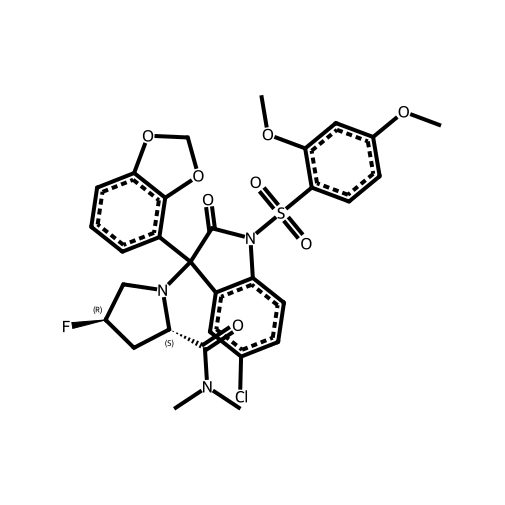 COc1ccc(S(=O)(=O)N2C(=O)C(c3cccc4c3OCO4)(N3C[C@H](F)C[C@H]3C(=O)N(C)C)c3cc(Cl)ccc32)c(OC)c1